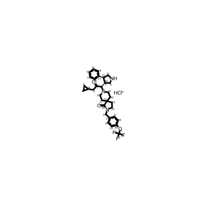 Cl.O=C(CC1CC1)C([C@@H]1CNC[C@@H]1c1ccccc1)N1CCC2(CCN(Cc3ccc(OC(F)(F)F)cc3)C2=O)CC1